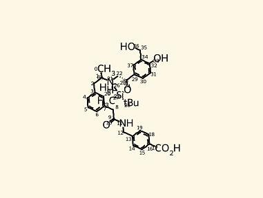 C[C@H](Cc1cccc(CC(=O)NCc2ccc(C(=O)O)cc2)c1)NC[C@@H](O[Si](C)(C)C(C)(C)C)c1ccc(O)c(CO)c1